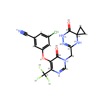 N#Cc1cc(Cl)cc(Oc2c(C(F)(F)F)ncn(CC3=NNC(=O)C4(CC4)N3)c2=O)c1